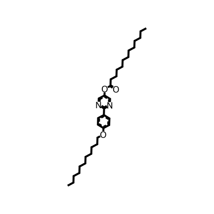 CCCCCCCCCCCCC(=O)Oc1cnc(-c2ccc(OCCCCCCCCCCC)cc2)nc1